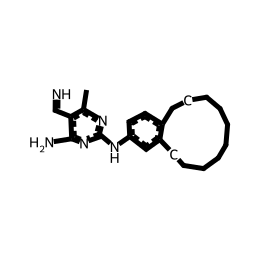 Cc1nc(Nc2ccc3c(c2)CCCCCCCCCC3)nc(N)c1C=N